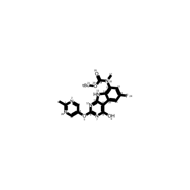 Cc1ncc(Oc2nc(O)c3c(n2)[nH]c2c(N(C)C(=O)OC(C)(C)C)cc(F)cc23)cn1